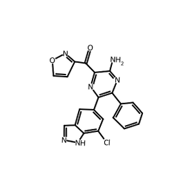 Nc1nc(-c2ccccc2)c(-c2cc(Cl)c3[nH]ncc3c2)nc1C(=O)c1ccon1